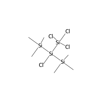 C[Si](C)(C)[Si](Cl)([Si](C)(C)C)[Si](Cl)(Cl)Cl